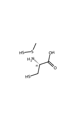 CSS.N[C@@H](CS)C(=O)O